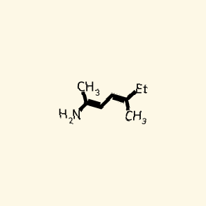 CC/C(C)=C/C=C(\C)N